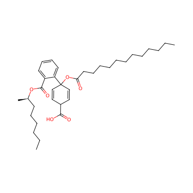 CCCCCCCCCCCCC(=O)OC1(c2ccccc2C(=O)O[C@H](C)CCCCCC)C=CC(C(=O)O)C=C1